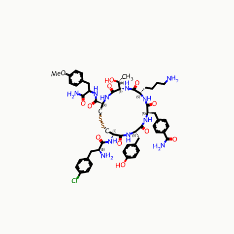 COc1ccc(CC(NC(=O)[C@@H]2CSSC[C@@H](NC(=O)[C@@H](N)Cc3ccc(Cl)cc3)C(=O)N[C@@H](Cc3ccc(O)cc3)C(=O)N[C@H](Cc3ccc(C(N)=O)cc3)C(=O)N[C@@H](CCCCN)C(=O)N[C@@H]([C@@H](C)O)C(=O)N2)C(N)=O)cc1